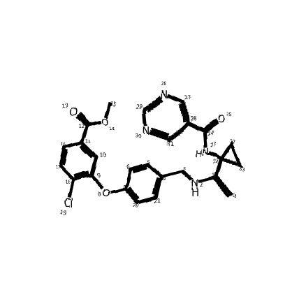 C=C(NCc1ccc(Oc2cc(C(=O)OC)ccc2Cl)cc1)C1(NC(=O)c2cncnc2)CC1